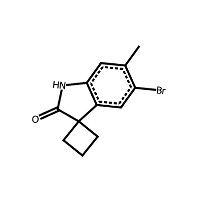 Cc1cc2c(cc1Br)C1(CCC1)C(=O)N2